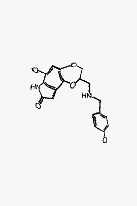 O=C1Cc2c(c(Cl)cc3c2OC(CNCc2ccc(Cl)cc2)CO3)N1